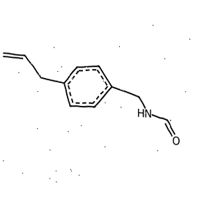 C=CCc1ccc(CN[C]=O)cc1